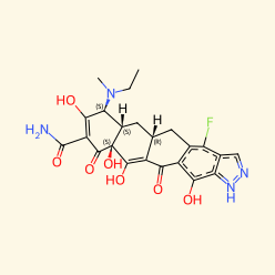 CCN(C)[C@@H]1C(O)=C(C(N)=O)C(=O)[C@@]2(O)C(O)=C3C(=O)c4c(c(F)c5cn[nH]c5c4O)C[C@H]3C[C@@H]12